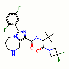 CC(C)(C)C(NC(=O)c1nc(-c2cc(F)ccc2F)n2c1CNCCC2)C(=O)N1CC(F)(F)C1